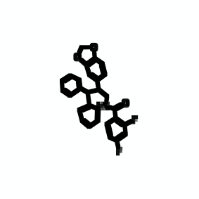 O=C(NCC(c1ccc2c(c1)OCO2)C(c1ccccc1)c1ccccc1)c1ccc(F)cc1F